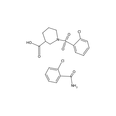 NC(=O)c1ccccc1Cl.O=C(O)C1CCCN(S(=O)(=O)c2ccccc2Cl)C1